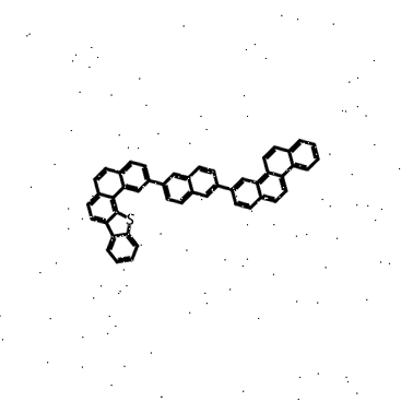 c1ccc2c(c1)ccc1c3cc(-c4ccc5cc(-c6ccc7ccc8ccc9c%10ccccc%10sc9c8c7c6)ccc5c4)ccc3ccc21